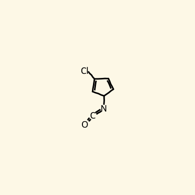 O=C=NC1C=CC(Cl)=C1